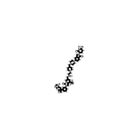 Cn1cnnc1CC1(c2cccc(-n3cc4c(C(F)(F)F)cc(CNCCN5CCC(CN6CCN(c7ccc8c(c7)CN(C7CCC(=O)NC7=O)C8=O)CC6)CC5)cn4c3=O)c2)COC1